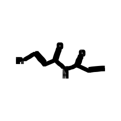 C=CC(=O)NC(=O)C=CC(C)C